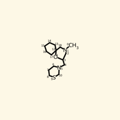 CN1CC(CN2CCCSC2)OC2(CCCCC2)C1